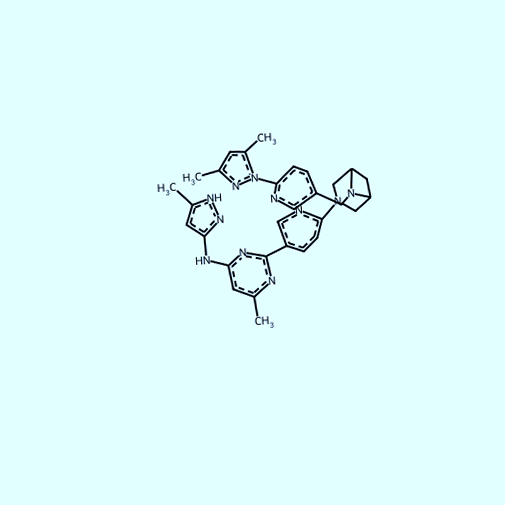 Cc1cc(Nc2cc(C)[nH]n2)nc(-c2ccc(N3CC4CC(C3)N4Cc3ccc(-n4nc(C)cc4C)nc3)nc2)n1